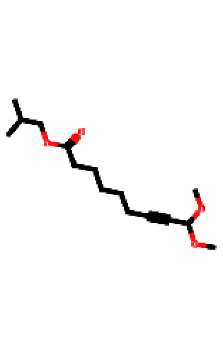 COC(C#CCCCCCC(=O)OCC(C)C)OC